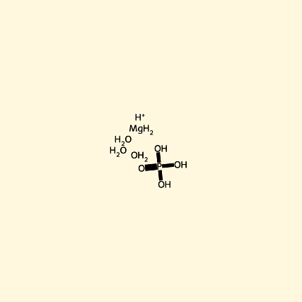 O.O.O.O=P(O)(O)O.[H+].[MgH2]